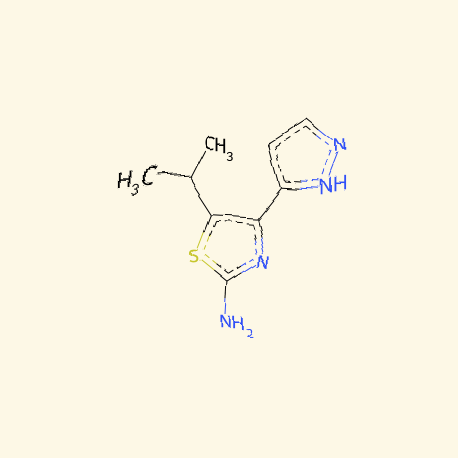 CC(C)c1sc(N)nc1-c1ccn[nH]1